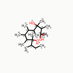 CCC(C)C(C)(O)C(C)C(C)C(C)C(C)C(C)(O)C(C)C(C)(C)O